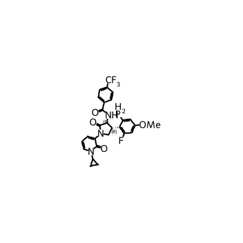 COc1cc(F)c([C@@H]2CN(c3cccn(C4CC4)c3=O)C(=O)[C@H]2NC(=O)c2ccc(C(F)(F)F)cc2)c(P)c1